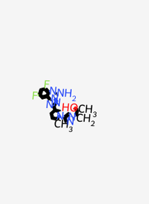 C=C(C(C)O)n1cc(N2CC(c3nc4c5cc(F)cc(F)c5nc(N)n4n3)CCC2C)cn1